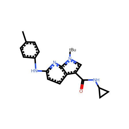 Cc1ccc(Nc2ccc3c(C(=O)NC4CC4)cn(C(C)(C)C)c3n2)cc1